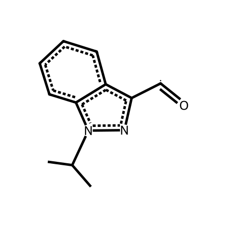 CC(C)n1nc([C]=O)c2ccccc21